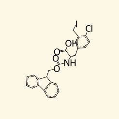 O=C(N[C@H](Cc1ccc(Cl)c(CI)c1)C(=O)O)OCC1c2ccccc2-c2ccccc21